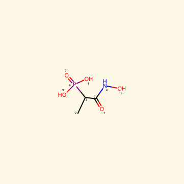 CC(C(=O)NO)P(=O)(O)O